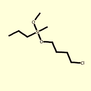 CCC[Si](C)(OC)OCCCCCl